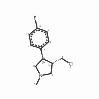 CN1C[C@@H](CCl)[C@H](c2ccc(F)cc2)C1